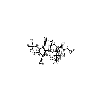 [2H]C1([2H])CN(C(=O)CCOC)[C@]([2H])(C([2H])(C([2H])([2H])[2H])C([2H])([2H])[2H])CN1c1nc(C2CC2)c2c(c1C#N)CC(C)(C)OC2